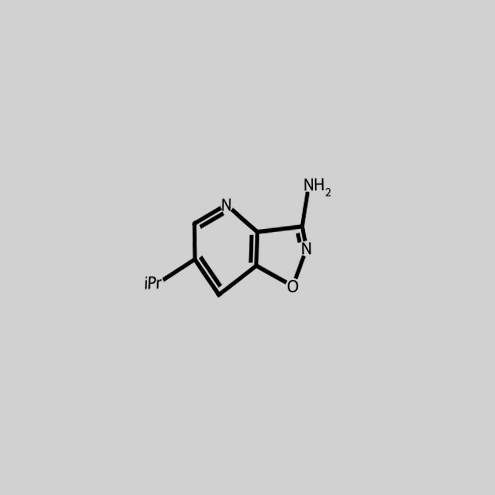 CC(C)c1cnc2c(N)noc2c1